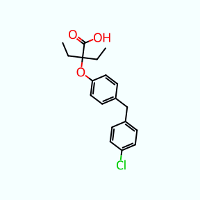 CCC(CC)(Oc1ccc(Cc2ccc(Cl)cc2)cc1)C(=O)O